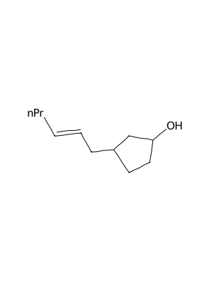 CCCC=CCC1CCC(O)C1